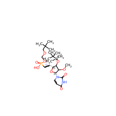 COC1C(O[Si](C)(C)C(C)(C)C)[C@@H](/C=C/P(=O)(O)OCOCC(C)(C)C)O[C@H]1n1ccc(=O)[nH]c1=O